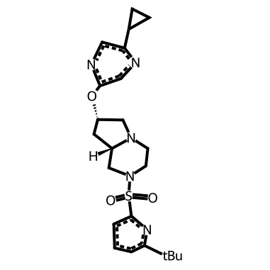 CC(C)(C)c1cccc(S(=O)(=O)N2CCN3C[C@@H](Oc4cnc(C5CC5)cn4)C[C@H]3C2)n1